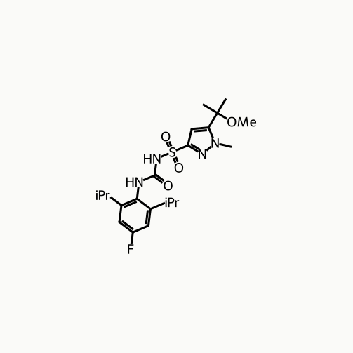 COC(C)(C)c1cc(S(=O)(=O)NC(=O)Nc2c(C(C)C)cc(F)cc2C(C)C)nn1C